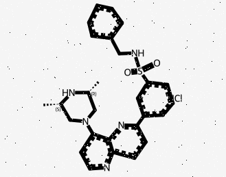 C[C@@H]1CN(c2ccnc3ccc(-c4cccc(S(=O)(=O)NCc5ccccc5)c4)nc23)C[C@H](C)N1.Cl